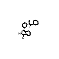 O=C(Nc1cccc(-c2n[nH]c(=O)c3ccccc23)c1)c1ccccc1